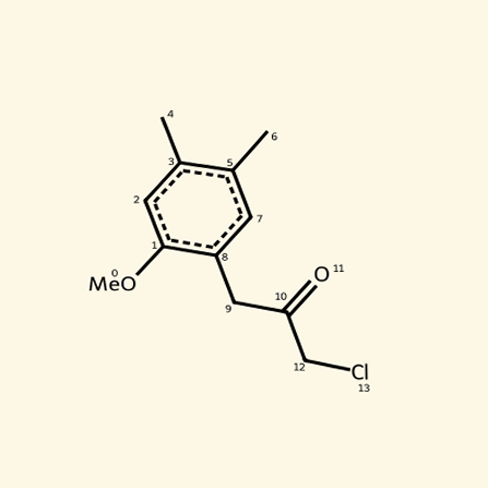 COc1cc(C)c(C)cc1CC(=O)CCl